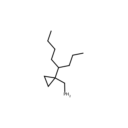 CCCCC(CCC)C1(CP)CC1